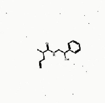 C=CCC(C)C(=O)NCC(O)c1ccccc1